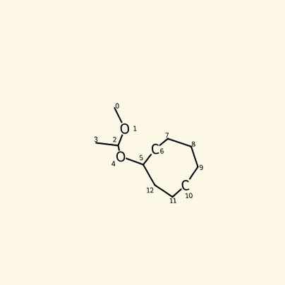 COC(C)OC1CCCCCCC1